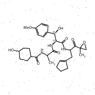 COc1ccc([C@@H](O)[C@H](NC(=O)C(C)NC(=O)C2CCC(O)CC2)C(=O)NC(CC2=CCCC2)C(=O)C2(C)CO2)cc1